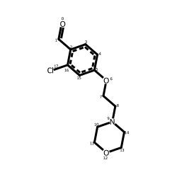 O=Cc1ccc(OCCN2CCOCC2)cc1Cl